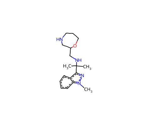 Cn1nc(C(C)(C)NCC2CNCCCO2)c2ccccc21